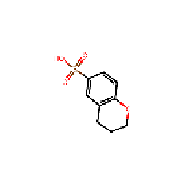 O=S(=O)(O)c1ccc2c(c1)CCCO2